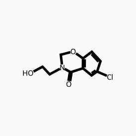 O=C1c2cc(Cl)ccc2OCN1CCO